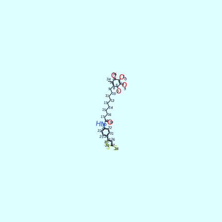 COC1=C(OC)C(=O)C(CCCCCCCCCC(=O)Nc2ccc(-c3cc(=S)ss3)cc2)=C(C)C1=O